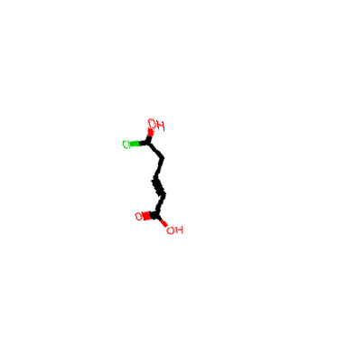 O=C(O)C=CCC(O)Cl